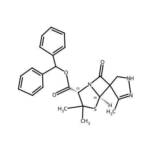 CC1=NNCC12C(=O)N1[C@@H](C(=O)OC(c3ccccc3)c3ccccc3)C(C)(C)S[C@@H]12